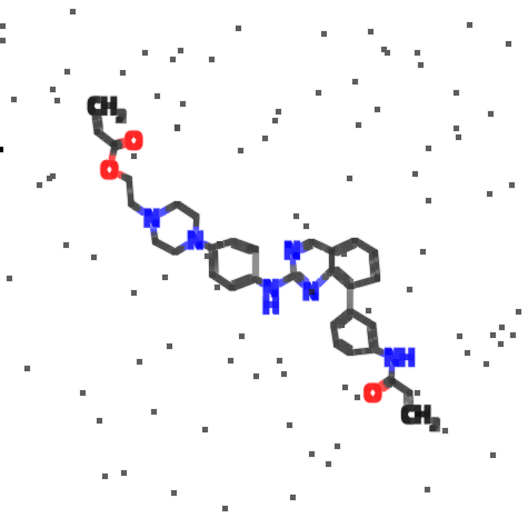 C=CC(=O)Nc1cccc(-c2cccc3cnc(Nc4ccc(N5CCN(CCOC(=O)C=C)CC5)cc4)nc23)c1